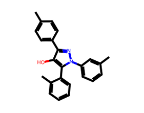 Cc1ccc(-c2nn(-c3cccc(C)c3)c(-c3ccccc3C)c2O)cc1